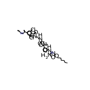 C=C/C=C\C(=C)c1cc(Cl)c(C(=O)NCCNC(=O)CN(C)C(=O)c2cccc(N/C(N)=N/C(=O)OCCCCCC)c2)c(Cl)c1